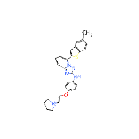 Cc1ccc2sc(-c3cccc4nc(Nc5ccc(OCCN6CCCC6)cc5)nn34)cc2c1